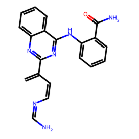 C=C(/C=C\N=C/N)c1nc(Nc2ccccc2C(N)=O)c2ccccc2n1